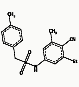 CCc1cc(NS(=O)(=O)Cc2ccc(C)cc2)cc(C)c1C#N